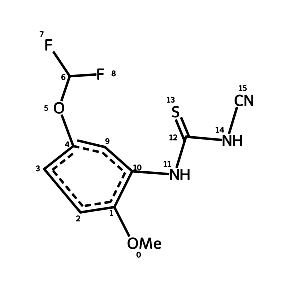 COc1ccc(OC(F)F)cc1NC(=S)NC#N